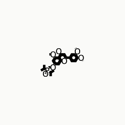 COc1ccc(-c2cc(=O)c3c(OC)cc(OCP(=O)(C(C)C)C(C)C)cc3o2)cc1OC